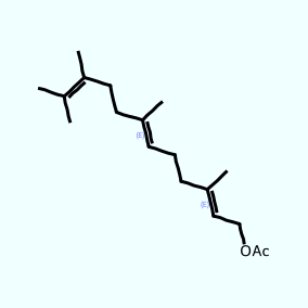 CC(=O)OC/C=C(\C)CC/C=C(\C)CCC(C)=C(C)C